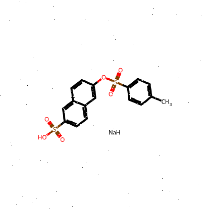 Cc1ccc(S(=O)(=O)Oc2ccc3cc(S(=O)(=O)O)ccc3c2)cc1.[NaH]